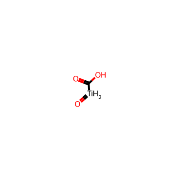 [O]=[TiH2][C](=O)O